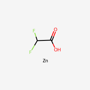 O=C(O)C(F)F.[Zn]